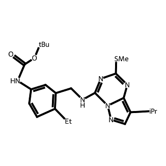 CCc1ccc(NC(=O)OC(C)(C)C)cc1CNc1nc(SC)nc2c(C(C)C)cnn12